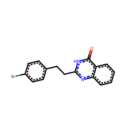 O=c1[nH]c(CCc2ccc(Br)cc2)nc2ccccc12